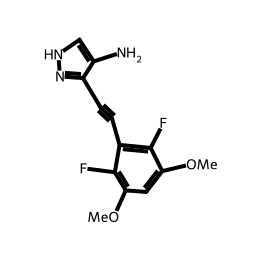 COc1cc(OC)c(F)c(C#Cc2n[nH]cc2N)c1F